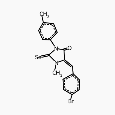 Cc1ccc(N2C(=O)C(=Cc3ccc(Br)cc3)N(C)C2=[Se])cc1